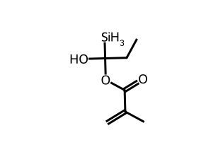 C=C(C)C(=O)OC(O)([SiH3])CC